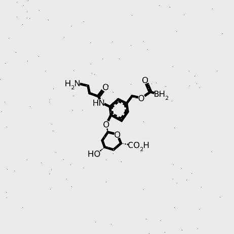 BC(=O)OCc1ccc(O[C@H]2C[C@@H](O)C[C@@H](C(=O)O)O2)c(NC(=O)CCN)c1